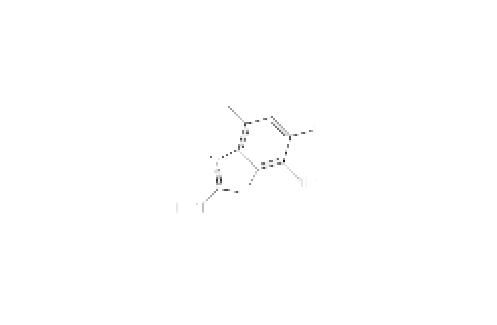 Cc1cc(F)c(C(C)C)c2sc(N)nc12